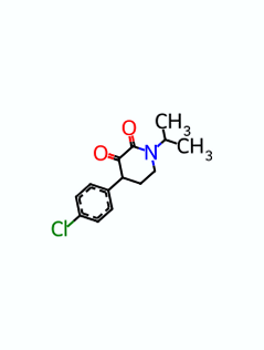 CC(C)N1CCC(c2ccc(Cl)cc2)C(=O)C1=O